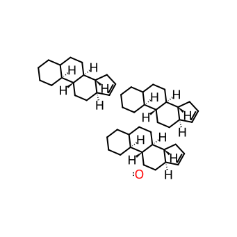 C1=C[C@H]2CC[C@H]3[C@@H](CCC4CCCC[C@@H]43)[C@@H]2C1.C1=C[C@H]2CC[C@H]3[C@@H](CCC4CCCC[C@@H]43)[C@@H]2C1.C1=C[C@H]2CC[C@H]3[C@@H](CCC4CCCC[C@@H]43)[C@@H]2C1.[O]